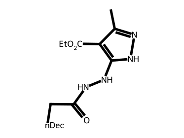 CCCCCCCCCCCC(=O)NNc1[nH]nc(C)c1C(=O)OCC